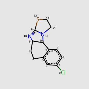 Clc1ccc2c(c1)CCC1N=C3SCCN3C21